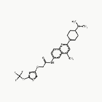 Cc1cc(N2CCC(N(C)C)CC2)nc2ccc(NC(=O)COc3csc(OC(F)(F)F)c3)cc12